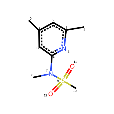 Cc1cc(C)nc(N(C)S(C)(=O)=O)c1